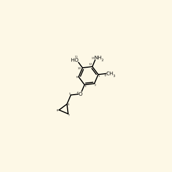 Cc1cc(OCC2CC2)cc(O)c1N